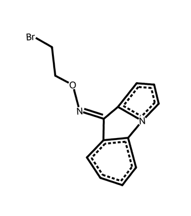 BrCCO/N=C1/c2ccccc2-n2cccc21